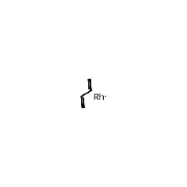 C=CC=C.[Rh]